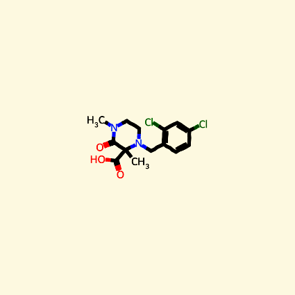 CN1CCN(Cc2ccc(Cl)cc2Cl)C(C)(C(=O)O)C1=O